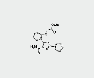 COC(=O)COc1ccccc1C1CC(c2ccccc2)=NN1C(N)=O